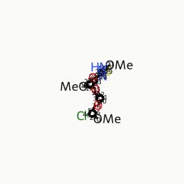 COc1cc(Cl)cc(COc2cccc(COc3cc(OC)cc4oc(-c5cn6c(n5)SC(OC)N6)cc34)c2)c1